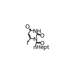 CCCCCCCC(=O)n1c(I)cc(=O)[nH]c1=O